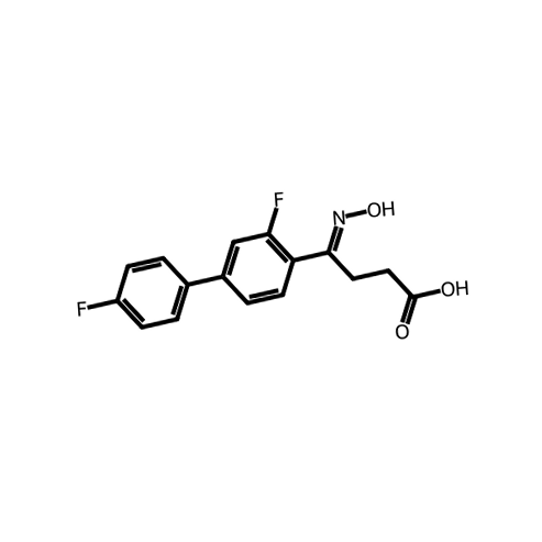 O=C(O)CCC(=NO)c1ccc(-c2ccc(F)cc2)cc1F